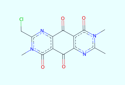 Cc1nc2c(c(=O)n1C)C(=O)c1nc(CCl)n(C)c(=O)c1C2=O